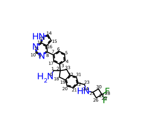 NCC1(c2cccc(-c3ncnc4[nH]ccc34)c2)Cc2ccc(CNC3CC(F)(F)C3)cc2C1